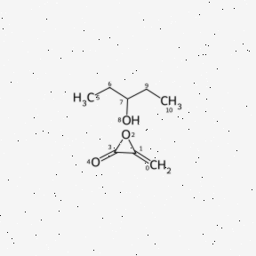 C=C1OC1=O.CCC(O)CC